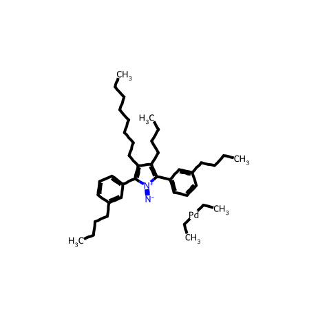 CCCCCCCCC1=C(c2cccc(CCCC)c2)[N+](=[N-])C(c2cccc(CCCC)c2)=C1CCCC.C[CH2][Pd][CH2]C